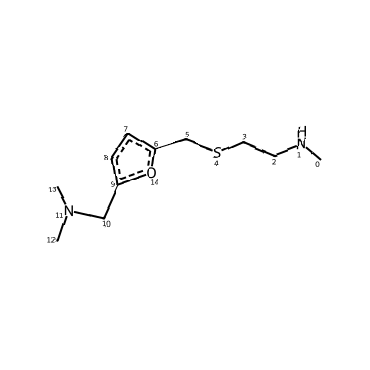 CNCCSCc1ccc(CN(C)C)o1